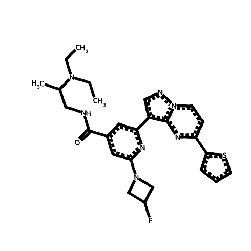 CCN(CC)C(C)CNC(=O)c1cc(-c2cnn3ccc(-c4cccs4)nc23)nc(N2CC(F)C2)c1